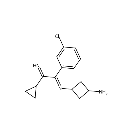 N=C(/C(=N/C1CC(N)C1)c1cccc(Cl)c1)C1CC1